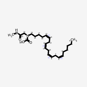 CCCCC/C=C\C/C=C\C/C=C\C/C=C\CCCCN(CC(=O)NC)C(=O)O